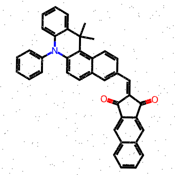 CC1(C)c2ccccc2N(c2ccccc2)c2ccc3cc(C=C4C(=O)c5cc6ccccc6cc5C4=O)ccc3c21